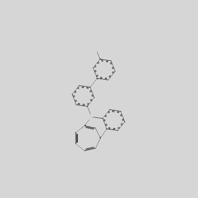 Brc1cccc(-c2cccc(N3C4=CC(C=CC=C4)c4ccccc43)c2)c1